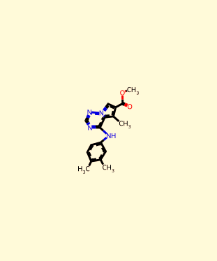 COC(=O)c1cn2ncnc(Nc3ccc(C)c(C)c3)c2c1C